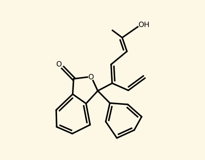 C=C/C(=C\C=C(/C)O)C1(c2ccccc2)OC(=O)c2ccccc21